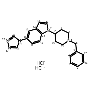 Cl.Cl.c1ccc(CN2CCC(n3ccc4cc(-n5cnnc5)ccc43)CC2)cc1